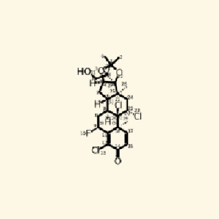 CC1(C)O[C@@H]2C[C@H]3[C@@H]4C[C@H](F)C5=C(Cl)C(=O)C=C[C@]5(C)[C@@]4(Cl)[C@@H](Cl)C[C@]3(C)[C@]2(C(=O)CO)O1